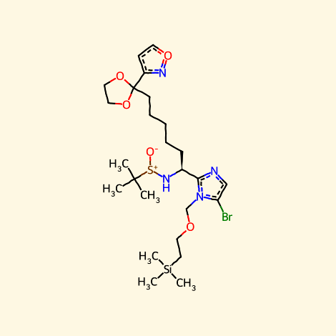 CC(C)(C)[S+]([O-])N[C@@H](CCCCCC1(c2ccon2)OCCO1)c1ncc(Br)n1COCC[Si](C)(C)C